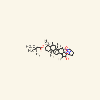 CC(=O)N1CC2CCC(C1)N2C(=O)[C@@]12CC[C@]3(C)C(CCC4[C@@]5(C)CC[C@H](OC(=O)CC(C)(C)C(=O)O)C(C)(C)C5CC[C@]43C)C1=C(C(C)C)C(=O)C2